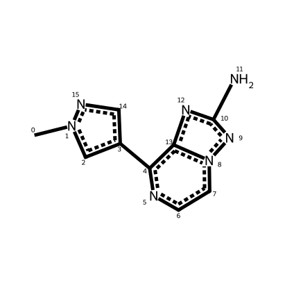 Cn1cc(-c2nccn3nc(N)nc23)cn1